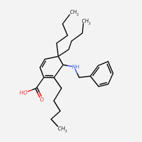 CCCCCC1=C(C(=O)O)C=CC(CCCC)(CCCC)C1NCc1ccccc1